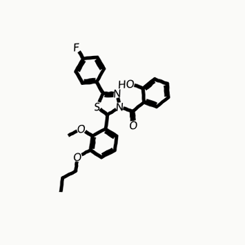 CCCOc1cccc(C2SC(c3ccc(F)cc3)=NN2C(=O)c2ccccc2O)c1OC